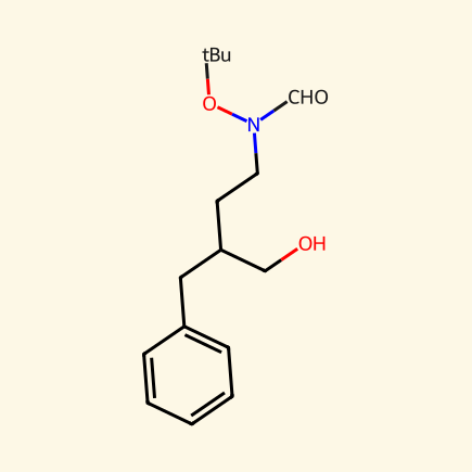 CC(C)(C)ON(C=O)CCC(CO)Cc1ccccc1